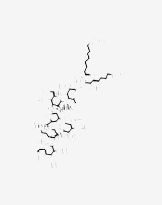 CCCCCCCCCCCCC/C=C/[C@@H](O)[C@H](CO[C@@H]1OC(CO)[C@@H](O[C@@H]2OC(CO)[C@H](O)[C@H](O[C@@H]3OC(CO)[C@@H](O[C@@H]4OC(CO)[C@H](O)[C@H](O[C@H]5OC(CO)[C@H](O)[C@H](O)C5O)C4O)[C@H](O[C@H]4OC(C)[C@@H](O)C(O)[C@@H]4O)C3NC(C)=O)C2O)[C@H](O)C1O)NC(=O)CCCCCCCCCCCCCCCCC